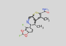 Cc1c(-c2ccc3c(c2F)OC(F)O3)ncc2sc(C(N)=O)c(C)c12